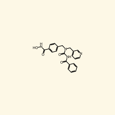 O=C(NO)c1ccc(CN(Cc2cccnc2)C(=O)NC(=O)c2ccccc2)cc1